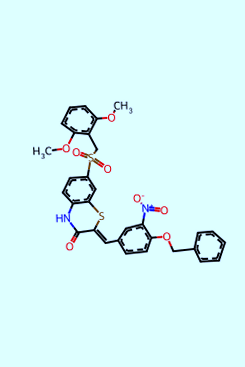 COc1cccc(OC)c1CS(=O)(=O)c1ccc2c(c1)SC(=Cc1ccc(OCc3ccccc3)c([N+](=O)[O-])c1)C(=O)N2